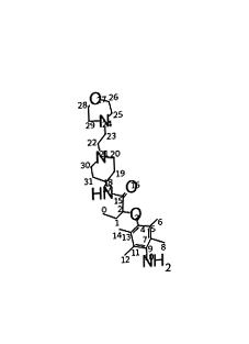 CCC(Oc1c(C)c(C)c(N)c(C)c1C)C(=O)NC1CCN(CCN2CCOCC2)CC1